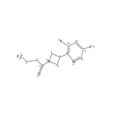 O=C(CCC(F)(F)F)N1CC(c2ncc(F)cc2F)C1